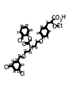 CCOC(Cc1ccc(OCCN(CCOCc2cc(Cl)cc(Cl)c2)C(=O)Oc2ccccc2Cl)cc1)C(=O)O